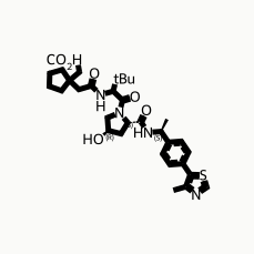 Cc1ncsc1-c1ccc([C@H](C)NC(=O)[C@@H]2C[C@@H](O)CN2C(=O)C(NC(=O)CC2(CC(=O)O)CCCC2)C(C)(C)C)cc1